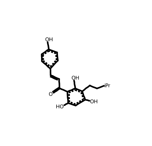 CC(C)CCc1c(O)cc(O)c(C(=O)/C=C/c2ccc(O)cc2)c1O